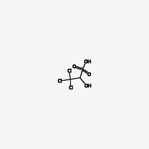 O=S(=O)(O)C(O)C(Cl)(Cl)Cl